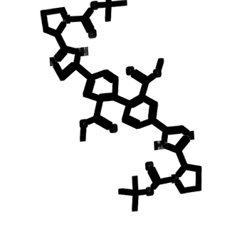 COC(=O)c1cc(-c2cnc(C3CCCN3C(=O)OC(C)(C)C)[nH]2)ccc1-c1ccc(-c2cnc(C3CCCN3C(=O)OC(C)(C)C)[nH]2)cc1C(=O)OC